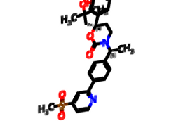 C[C@@H](c1ccc(-c2cc(S(C)(=O)=O)ccn2)cc1)N1CC[C@](CC(C)(C)O)(c2ccccc2)OC1=O